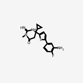 CN1C(=N)NC(c2ccc(-c3ccc(F)c(N)c3)s2)(C2CC2)CC1=O